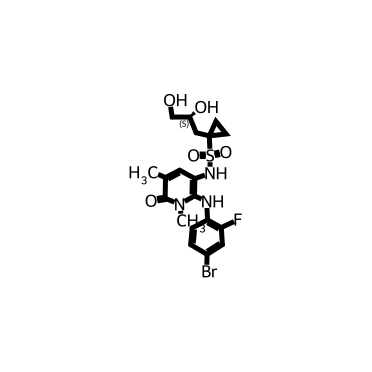 Cc1cc(NS(=O)(=O)C2(C[C@H](O)CO)CC2)c(Nc2ccc(Br)cc2F)n(C)c1=O